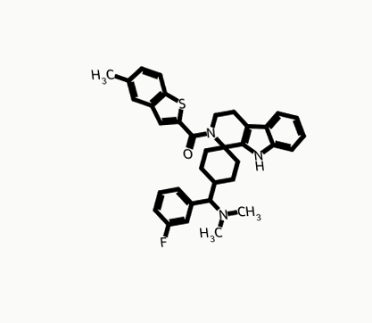 Cc1ccc2sc(C(=O)N3CCc4c([nH]c5ccccc45)C34CCC(C(c3cccc(F)c3)N(C)C)CC4)cc2c1